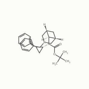 CC(C)(C)OC(=O)N([C@@H]1[C@@H]2C[C@H]1CN(Cc1ccccc1)C2)[C@@H]1C[C@H]1c1ccccc1